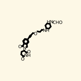 O=CN[C@H]1CC[C@@H](NCCCOCC#Cc2ccc3c(c2)CN(C2CCC(=O)NC2=O)C3=O)CC1